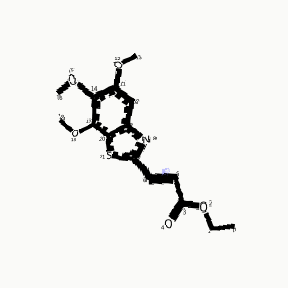 CCOC(=O)/C=C/c1nc2cc(OC)c(OC)c(OC)c2s1